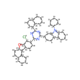 Clc1c(-c2nc(-c3ccc4c5ccccc5n(-c5ccccc5)c4c3)nc(-c3cccc4ccccc34)n2)ccc2c1oc1ccc3ccccc3c12